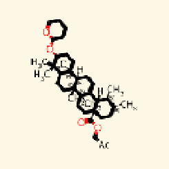 CC(=O)COC(=O)[C@]12CC[C@@H](C)[C@H](C)[C@H]1C1=CC[C@@H]3[C@@]4(C)CC[C@H](OC5CCCCO5)C(C)(C)C4CC[C@@]3(C)[C@]1(C)CC2